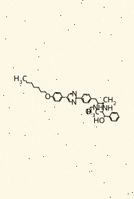 C=C(NC(C)C(O)c1ccccc1)C(Cc1ccc(-c2ncc(-c3ccc(OCCCCCCC)cc3)cn2)cc1)NC=O